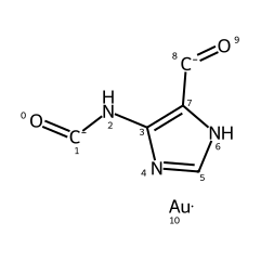 O=[C-]Nc1nc[nH]c1[C-]=O.[Au]